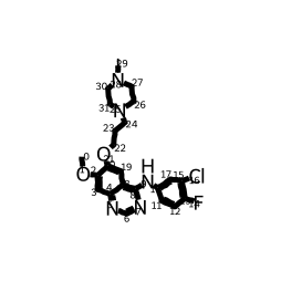 COc1cc2ncnc(Nc3ccc(F)c(Cl)c3)c2cc1OCCCN1CCN(I)CC1